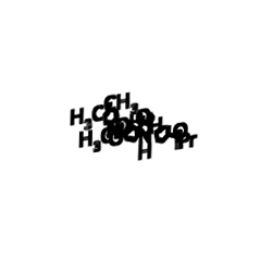 Cc1ccc(N(C)S(=O)(=O)c2ccc3c(c2)[C@H]2OCC[C@H]2[C@H](c2ccc(C(=O)C(C)C)cc2)N3)cc1C